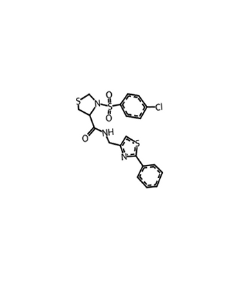 O=C(NCc1csc(-c2ccccc2)n1)C1CSCN1S(=O)(=O)c1ccc(Cl)cc1